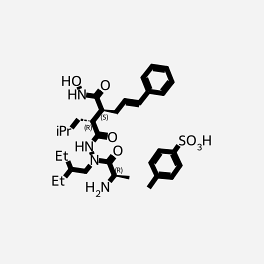 CCC(CC)CN(NC(=O)[C@H](CC(C)C)[C@H](CC=Cc1ccccc1)C(=O)NO)C(=O)[C@@H](C)N.Cc1ccc(S(=O)(=O)O)cc1